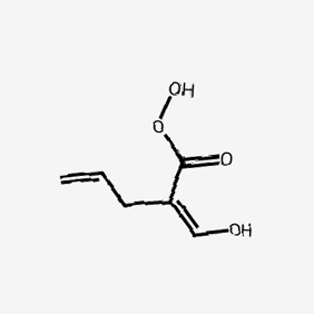 C=CCC(=CO)C(=O)OO